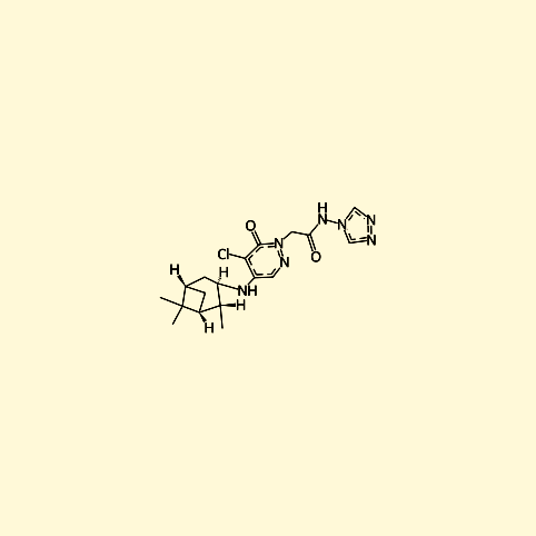 C[C@@H]1[C@H]2C[C@@H](C[C@H]1Nc1cnn(CC(=O)Nn3cnnc3)c(=O)c1Cl)C2(C)C